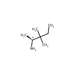 CCC(C)(C)[C@H](C)N